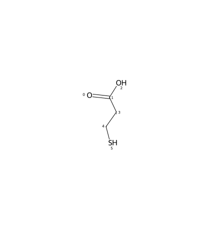 O=C(O)[CH]CS